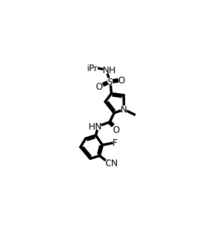 CC(C)NS(=O)(=O)c1cc(C(=O)Nc2cccc(C#N)c2F)n(C)c1